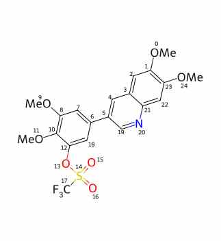 COc1cc2cc(-c3cc(OC)c(OC)c(OS(=O)(=O)C(F)(F)F)c3)cnc2cc1OC